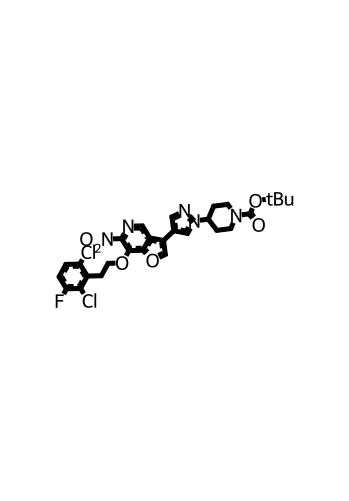 CC(C)(C)OC(=O)N1CCC(n2cc(-c3coc4c(OCCc5c(Cl)ccc(F)c5Cl)c([N+](=O)[O-])ncc34)cn2)CC1